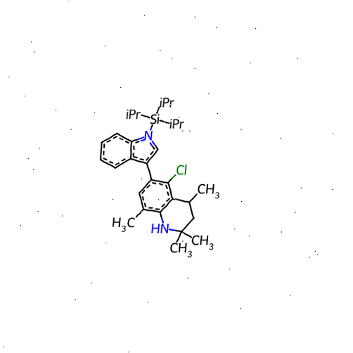 Cc1cc(-c2cn([Si](C(C)C)(C(C)C)C(C)C)c3ccccc23)c(Cl)c2c1NC(C)(C)CC2C